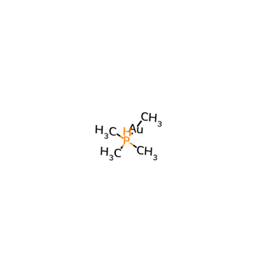 [CH3][Au][PH](C)(C)C